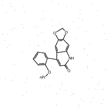 CCCOc1ccccc1-c1cc(=O)[nH]c2cc3c(cc12)OCO3